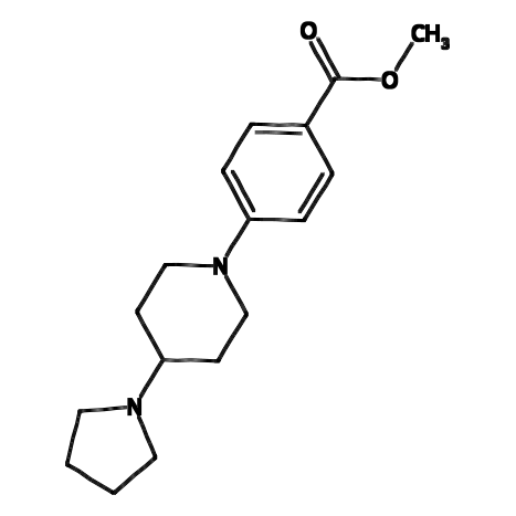 COC(=O)c1ccc(N2CCC(N3CCCC3)CC2)cc1